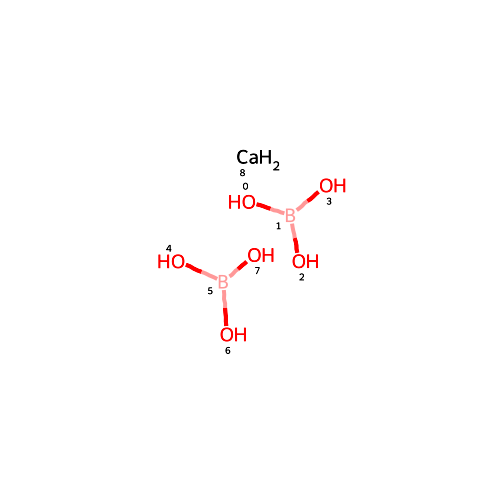 OB(O)O.OB(O)O.[CaH2]